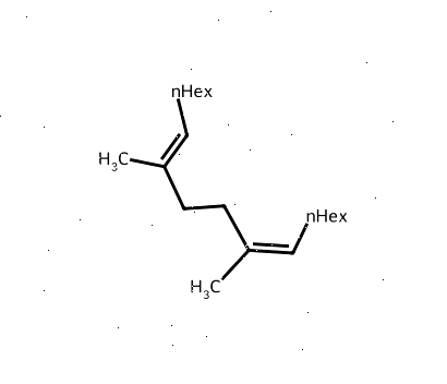 [CH2]CCCCCC=C(C)CCC(C)=CCCCCC[CH2]